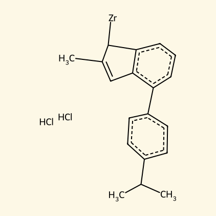 CC1=Cc2c(-c3ccc(C(C)C)cc3)cccc2[CH]1[Zr].Cl.Cl